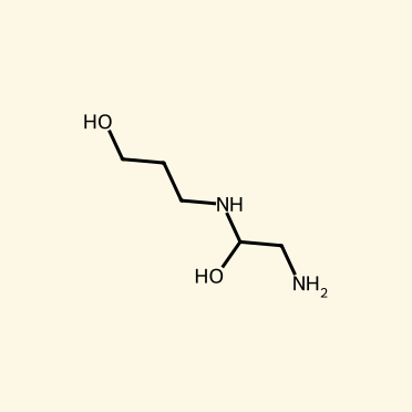 NCC(O)NCCCO